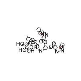 COc1cc(C=O)c(/N=C\C2Cc3ccccc3CN2C)cc1OCc1cc(COc2cc(/N=C\[C@@H]3Cc4ccccc4CN3C)c(C=O)cc2OC)cc(C[N+](C)(C)Cc2ccc(OSOc3cc(C)ccc3OC3OC(CO)C(O)C(O)[C@H]3O)cc2)c1